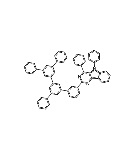 c1ccc(-c2cc(-c3ccccc3)cc(-c3cc(-c4ccccc4)cc(-c4cccc(-c5nc(-c6ccccc6)c6c(n5)c5ccccc5n6-c5ccccc5)c4)c3)c2)cc1